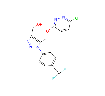 OCc1nnn(-c2ccc(C(F)F)cc2)c1COc1ccc(Cl)nn1